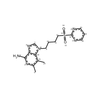 Cc1nc(N)c2ncn(CCCCS(=O)(=O)c3ncccn3)c2c1C